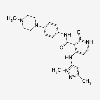 Cc1cc(Nc2cc[nH]c(=O)c2C(=O)Nc2ccc(N3CCN(C)CC3)cc2)n(C)n1